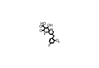 COc1cc(F)ccc1Cc1cnc2c(O)c(C(=O)O)c(=O)n(C)c2c1